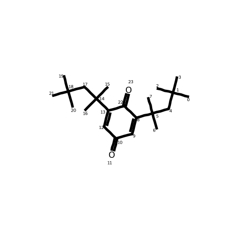 CC(C)(C)CC(C)(C)C1=CC(=O)C=C(C(C)(C)CC(C)(C)C)C1=O